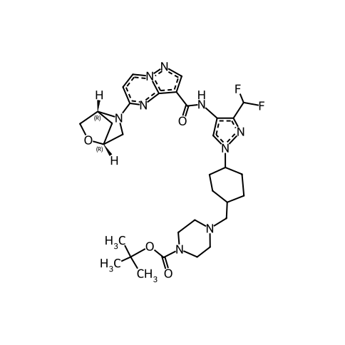 CC(C)(C)OC(=O)N1CCN(CC2CCC(n3cc(NC(=O)c4cnn5ccc(N6C[C@H]7C[C@@H]6CO7)nc45)c(C(F)F)n3)CC2)CC1